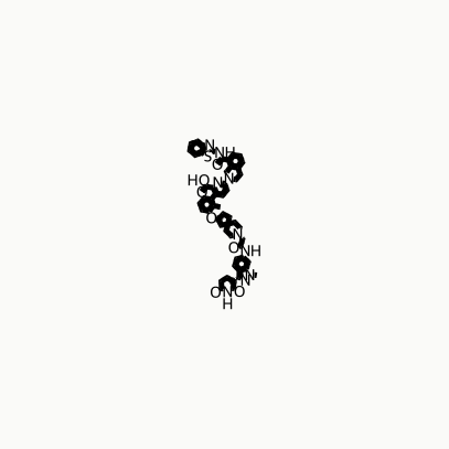 Cc1c(O[C@@H]2CCC3(CCN(CC(=O)Nc4ccc5c([C@H]6CCC(=O)NC6=O)nn(C)c5c4)CC3)C2)cccc1-c1ccc(N2CCc3cccc(C(=O)Nc4nc5ccccc5s4)c3C2)nc1C(=O)O